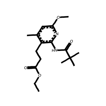 CCOC(=O)CCc1c(C)cc(OC)nc1NC(=O)C(C)(C)C